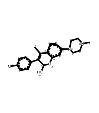 CC1=C(c2ccc(Cl)cc2)C(O)Oc2cc(N3CCN(C)CC3)ccc21